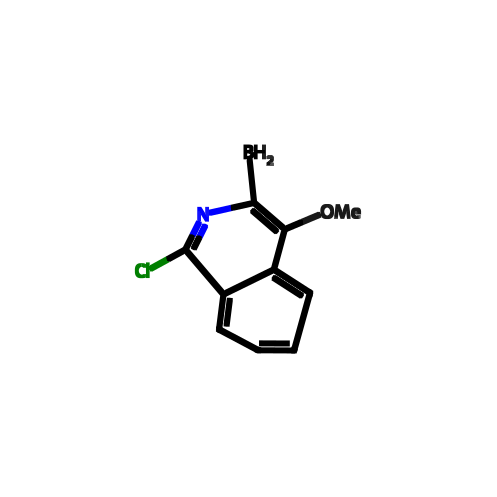 Bc1nc(Cl)c2ccccc2c1OC